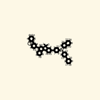 CC1(C)c2cc(-c3ccc(N(c4ccc(-c5ccccc5)cc4)c4ccc5ccccc5c4)cc3)ccc2-c2c1cc(-c1ccc3oc4ccccc4c3c1)c1ccccc21